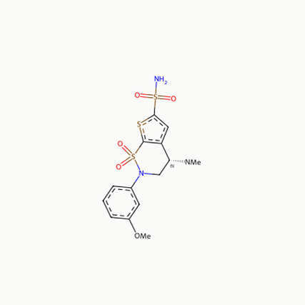 CN[C@@H]1CN(c2cccc(OC)c2)S(=O)(=O)c2sc(S(N)(=O)=O)cc21